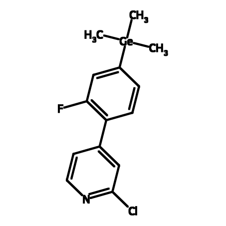 [CH3][Ge]([CH3])([CH3])[c]1ccc(-c2ccnc(Cl)c2)c(F)c1